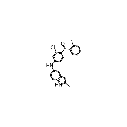 Cc1cc2cc(Nc3ccc(C(=O)c4ccccc4C)c(Cl)c3)ccc2[nH]1